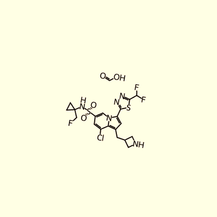 O=CO.O=S(=O)(NC1(CF)CC1)c1cc(Cl)c2c(CC3CNC3)cc(-c3nnc(C(F)F)s3)n2c1